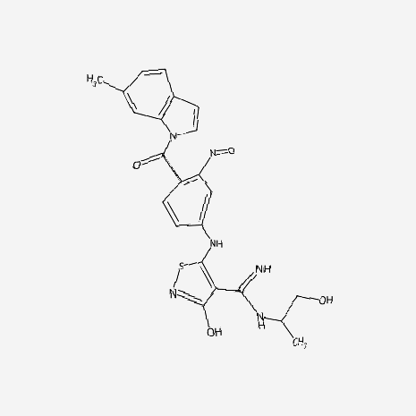 Cc1ccc2ccn(C(=O)c3ccc(Nc4snc(O)c4C(=N)NC(C)CO)cc3N=O)c2c1